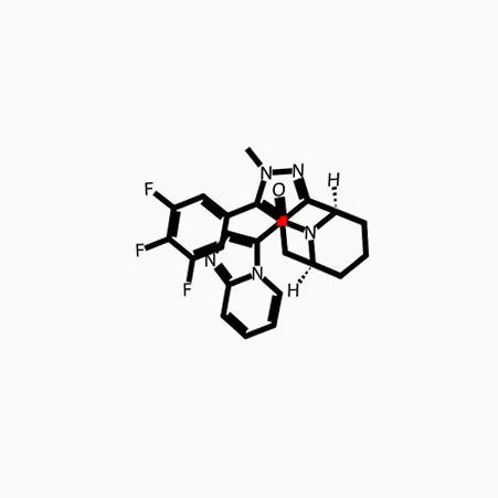 Cn1nc2c(c1-c1cc(F)c(F)c(F)c1)C[C@@H]1CCC[C@H]2N1C(=O)c1cnc2ccccn12